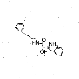 N[C@H](Cc1ccccc1)C(O)C(=O)NCCCCc1ccccc1